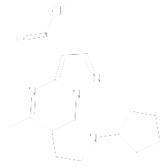 Cc1nc2c(C(=O)C(F)(F)F)cnn2c2c1CCN2C1CCCC1